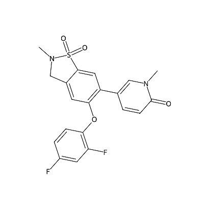 CN1Cc2cc(Oc3ccc(F)cc3F)c(-c3ccc(=O)n(C)c3)cc2S1(=O)=O